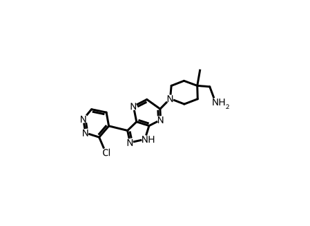 CC1(CN)CCN(c2cnc3c(-c4ccnnc4Cl)n[nH]c3n2)CC1